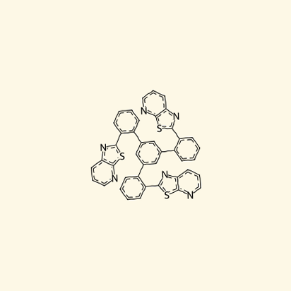 c1ccc(-c2nc3cccnc3s2)c(-c2cc(-c3ccccc3-c3nc4cccnc4s3)cc(-c3ccccc3-c3nc4cccnc4s3)c2)c1